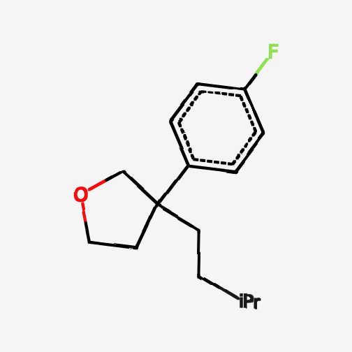 CC(C)CCC1(c2ccc(F)cc2)CCOC1